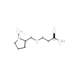 CN1CCCC1CSCCC(=O)O